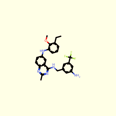 CCc1cccc(Nc2ccc3nc(C)nc(NCc4cc(N)cc(C(F)(F)F)c4)c3c2)c1OC